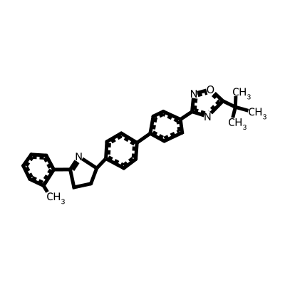 Cc1ccccc1C1=NC(c2ccc(-c3ccc(-c4noc(C(C)(C)C)n4)cc3)cc2)CC1